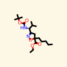 CCCCCC1(C(=O)OCC)CC([C@@H](NC(=O)OC(C)(C)C)C(C)C)=NO1